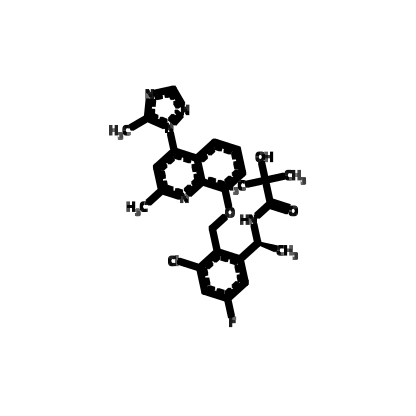 Cc1cc(-n2ncnc2C)c2cccc(OCc3c(Cl)cc(F)cc3[C@H](C)NC(=O)C(C)(C)O)c2n1